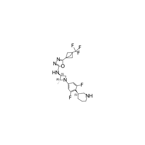 C[C@@H]1[C@@H](Nc2nnc(C34CC(C(F)(F)F)(C3)C4)o2)CN1c1cc(F)c([C@@H]2CCCNC2)c(F)c1